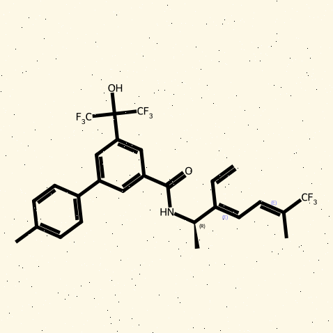 C=C/C(=C\C=C(/C)C(F)(F)F)[C@@H](C)NC(=O)c1cc(-c2ccc(C)cc2)cc(C(O)(C(F)(F)F)C(F)(F)F)c1